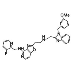 COc1cccc(Cn2c(CCNCCc3nc4c(NCc5ncccc5F)nccc4o3)nc3ccccc32)c1